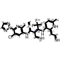 C=C=C(Nc1cc(Cl)c(-n2nccn2)nc1C)/C(C=N)=C(/NC1=CC=C(C)N/C1=C\C=N)C(F)(F)F